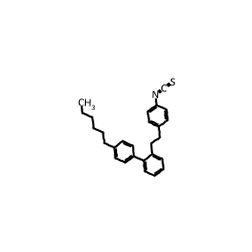 CCCCCCc1ccc(-c2ccccc2CCc2ccc(N=C=S)cc2)cc1